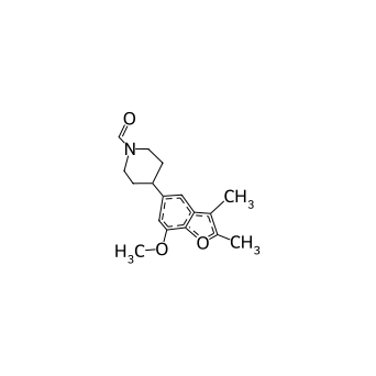 COc1cc(C2CCN(C=O)CC2)cc2c(C)c(C)oc12